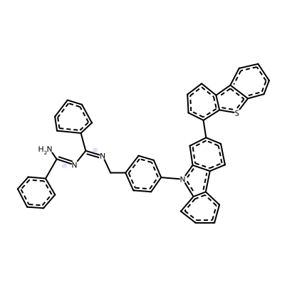 N/C(=N\C(=N/Cc1ccc(-n2c3ccccc3c3ccc(-c4cccc5c4sc4ccccc45)cc32)cc1)c1ccccc1)c1ccccc1